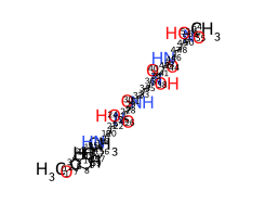 COc1ccc2c(c1)CC[C@@H]1[C@@H]2CC[C@]2(C)C(NCCCCCN(O)C(=O)CCC(=O)NCCCCCN(O)C(=O)CCC(=O)NCCCCCN(O)C(C)=O)CC[C@@H]12